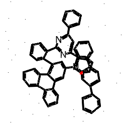 c1ccc(-c2ccc3c4ccccc4n(-c4cc(-c5ccccc5-c5nc(-c6ccccc6)cc(-c6ccccc6)n5)c5c6ccccc6c6ccccc6c5c4)c3c2)cc1